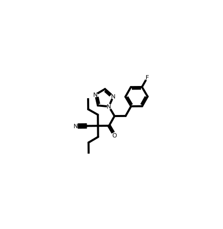 CCCC(C#N)(CCC)C(=O)C(Cc1ccc(F)cc1)n1cncn1